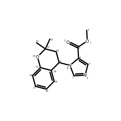 COC(=O)c1cncn1C1CC(C)(C)Oc2ccccc21